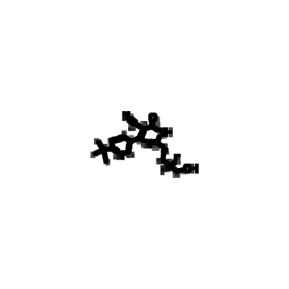 CC(C)(C)c1ccc(-c2nc(SCC(F)(F)CO)[nH]c(=O)c2C#N)cn1